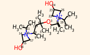 C=C(COC(C)(C)CC(C)[N+]1(C(C)C)CC(O)C1)[N+]1(C(C)C)CC(O)C1